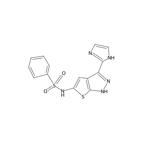 O=S(=O)(Nc1cc2c(-c3ncc[nH]3)n[nH]c2s1)c1ccccc1